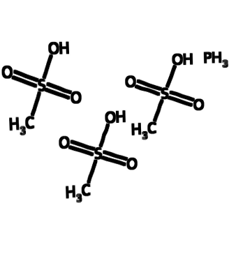 CS(=O)(=O)O.CS(=O)(=O)O.CS(=O)(=O)O.P